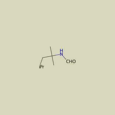 CC(C)CC(C)(C)NC=O